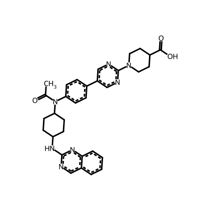 CC(=O)N(c1ccc(-c2cnc(N3CCC(C(=O)O)CC3)nc2)cc1)C1CCC(Nc2ncc3ccccc3n2)CC1